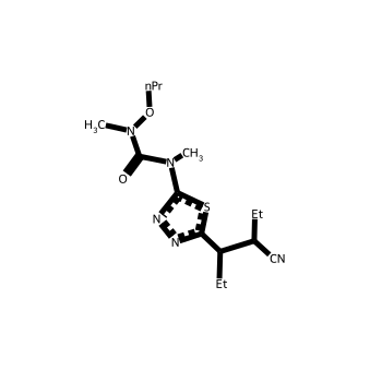 CCCON(C)C(=O)N(C)c1nnc(C(CC)C(C#N)CC)s1